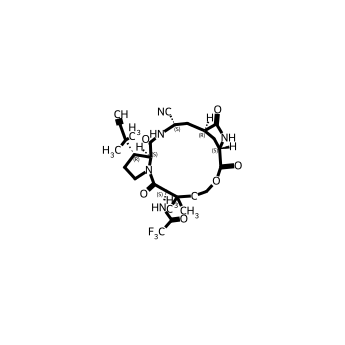 C#CC(C)(C)[C@H]1CCN2C(=O)[C@@H](NC(=O)C(F)(F)F)C(C)(C)CCOC(=O)[C@@H]3C[C@@H](C[C@@H](C#N)NC(=O)[C@H]12)C(=O)N3